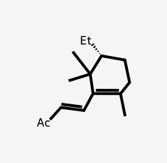 CC[C@@H]1CCC(C)=C(C=CC(C)=O)C1(C)C